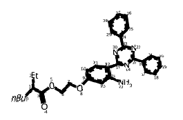 CCCCC(CC)C(=O)OCCOc1ccc(-c2nc(-c3ccccc3)nc(-c3ccccc3)n2)c(N)c1